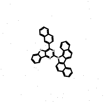 c1ccc2cc(-c3nc(-n4c5ccc6ccccc6c5c5ccc6ccccc6c54)nc4c3sc3ccccc34)ccc2c1